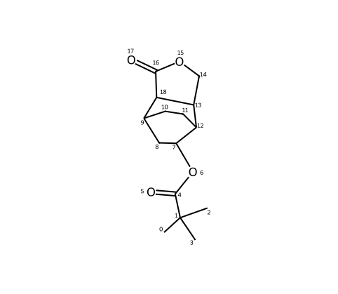 CC(C)(C)C(=O)OC1CC2CCC1C1COC(=O)C21